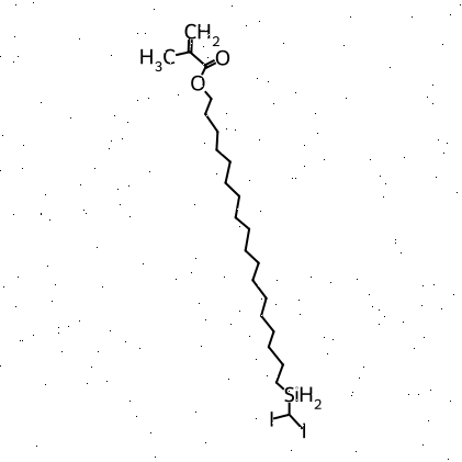 C=C(C)C(=O)OCCCCCCCCCCCCCCCCCC[SiH2]C(I)I